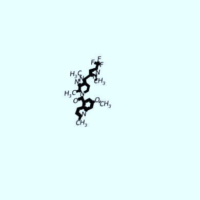 COc1cc(C(=O)N2CCc3c(nn(C)c3-c3cc(C(F)(F)F)nn3C)C2C)c2ccc(C)nc2c1